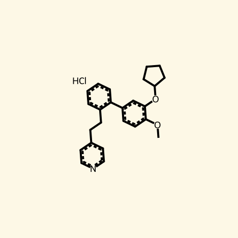 COc1ccc(-c2ccccc2CCc2ccncc2)cc1OC1CCCC1.Cl